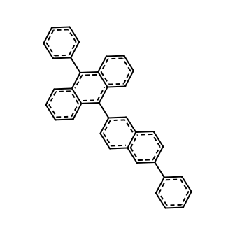 c1ccc(-c2ccc3cc(-c4c5ccccc5c(-c5ccccc5)c5ccccc45)ccc3c2)cc1